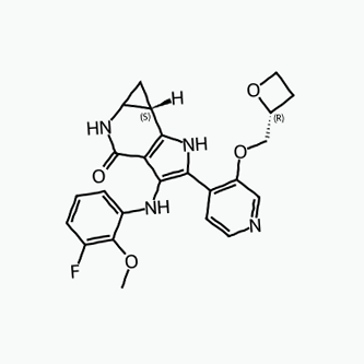 COc1c(F)cccc1Nc1c(-c2ccncc2OC[C@H]2CCO2)[nH]c2c1C(=O)NC1C[C@H]21